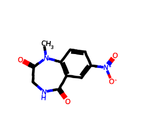 CN1C(=O)CNC(=O)c2cc([N+](=O)[O-])ccc21